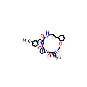 Cc1cccc(C[C@@H]2NC(=O)C3(CCCC3)NC(=O)C(C)(C)NCCOc3ccccc3/C=C/CNC2=O)c1